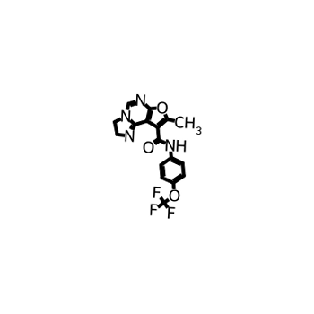 Cc1oc2c(c1C(=O)Nc1ccc(OC(F)(F)F)cc1)C1=NCCN1C=N2